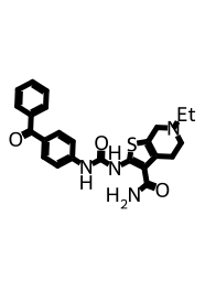 CCN1CCc2c(sc(NC(=O)Nc3ccc(C(=O)c4ccccc4)cc3)c2C(N)=O)C1